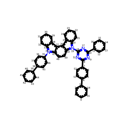 c1ccc(-c2ccc(-c3nc(-c4ccccc4)nc(-n4c5ccccc5c5c6c7ccccc7n(-c7ccc(-c8ccccc8)cc7)c6ccc54)n3)cc2)cc1